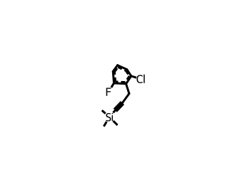 C[Si](C)(C)C#CCc1c(F)cccc1Cl